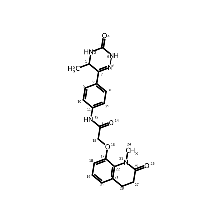 CC1NC(=O)NN=C1c1ccc(NC(=O)COc2cccc3c2N(C)C(=O)CC3)cc1